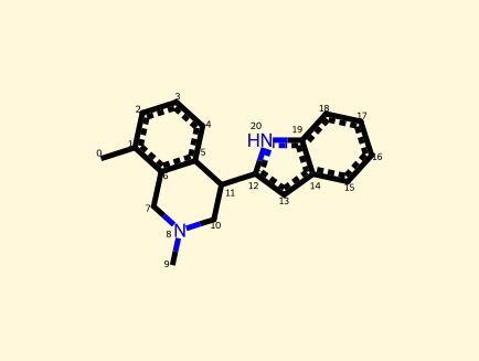 Cc1cccc2c1CN(C)CC2c1cc2ccccc2[nH]1